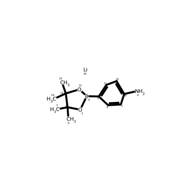 CC1(C)OB(c2ccc(N)cc2)OC1(C)C.[Li]